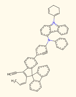 C#CC1=C(/C=C\C)C2(c3cc(-c4c#cc(N(c5ccccc5)c5cccc6c5c5ccccc5n6C5=CCCC=C5)cc4)ccc31)c1ccccc1-c1ccccc12